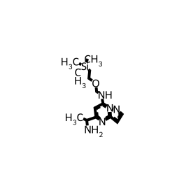 CC(N)c1cc(NCOCC[Si](C)(C)C)n2nccc2n1